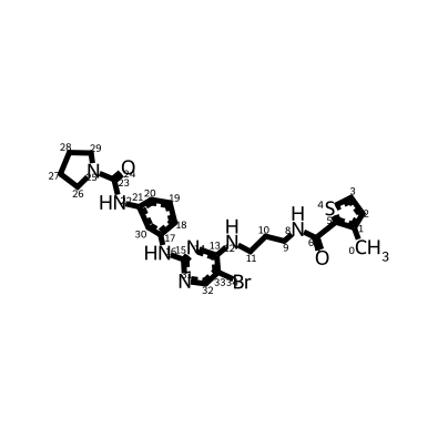 Cc1ccsc1C(=O)NCCCNc1nc(Nc2cccc(NC(=O)N3CCCC3)c2)ncc1Br